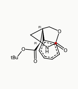 CC(C)(C)OC(=O)[C@@]12C[C@]1(c1ccccc1)COC(=O)N2